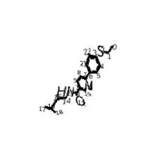 CCSc1ccc(-c2ccc(C(=O)NCCC(C)C)cn2)cc1